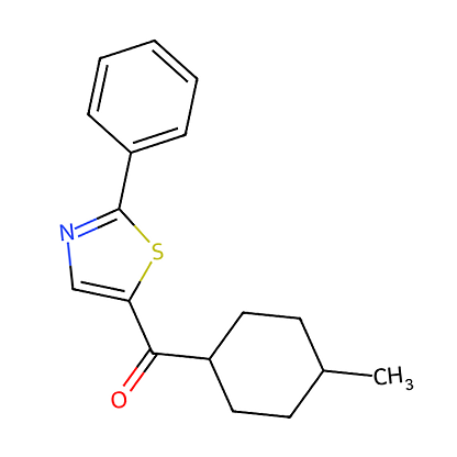 CC1CCC(C(=O)c2cnc(-c3ccccc3)s2)CC1